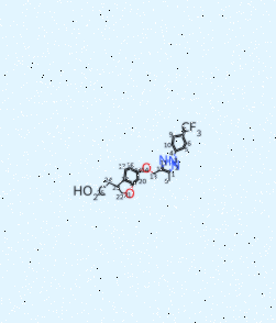 Cc1nn(-c2ccc(C(F)(F)F)cc2)nc1COc1ccc2c(c1)OCC2CC(=O)O